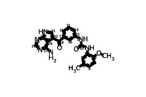 COc1ccc(C)cc1NC(=O)Nc1cccc(C(=O)c2c[nH]c3ncnc(N)c23)c1